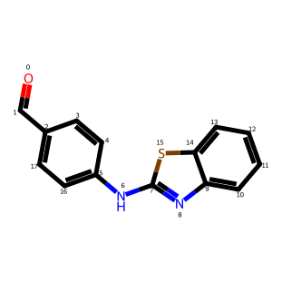 O=Cc1ccc(Nc2nc3ccccc3s2)cc1